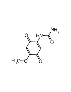 COC1=CC(=O)C(NC(N)=O)=CC1=O